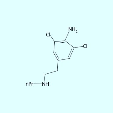 CCCNCCc1cc(Cl)c(N)c(Cl)c1